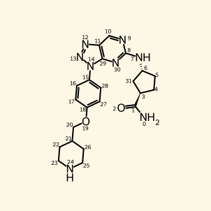 NC(=O)[C@@H]1CC[C@@H](Nc2ncc3nnn(-c4ccc(OCC5CCNCC5)cc4)c3n2)C1